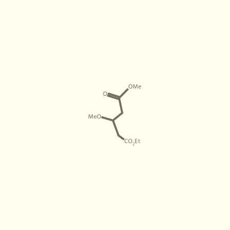 CCOC(=O)CC(CC(=O)OC)OC